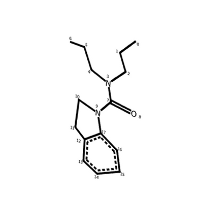 CCCN(CCC)C(=O)N1CCc2ccccc21